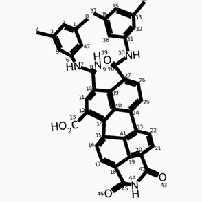 Cc1cc(C)cc(NC(=N)c2cc(C(=O)O)c3c4ccc5c6c(ccc(c7ccc(C(=O)Nc8cc(C)cc(C)c8)c2c73)c64)C(=O)NC5=O)c1